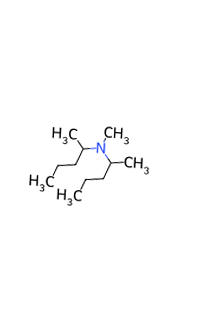 CCCC(C)N(C)C(C)CCC